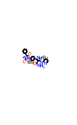 CN(C(=O)OC(C)(C)C)C(C(=O)Nc1ccc(-c2nn(C(C)(C)C)c(Nc3ccccn3)c2C(N)=O)cc1)c1ccccc1